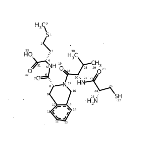 CSCC[C@H](NC(=O)[C@H]1Cc2ccccc2CN1C(=O)[C@@H](NC(=O)[C@@H](N)CS)C(C)C)C(=O)O